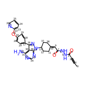 CC#CC(=O)NNC(=O)C=C1CCC(n2nc(-c3ccc(Oc4ccccn4)cc3)c3c(N)ncnc32)CC1